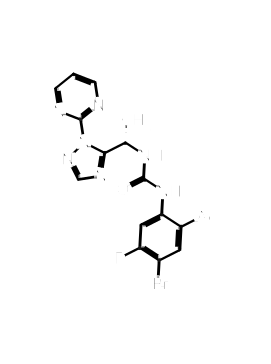 CC(=O)c1cc(Br)c(F)cc1NC(=O)N[C@@H](C)c1ncnn1-c1ncccn1